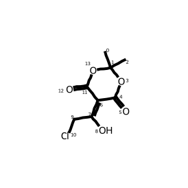 CC1(C)OC(=O)C(=C(O)CCl)C(=O)O1